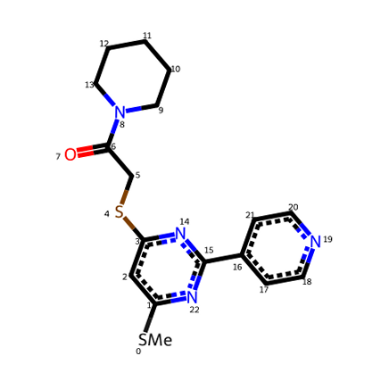 CSc1cc(SCC(=O)N2CCCCC2)nc(-c2ccncc2)n1